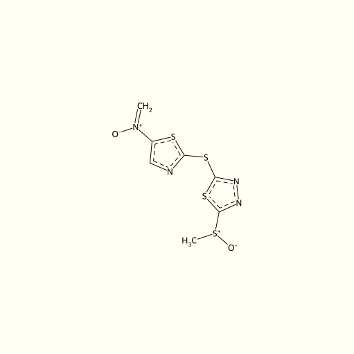 C=[N+]([O-])c1cnc(Sc2nnc([S+](C)[O-])s2)s1